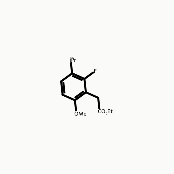 CCOC(=O)Cc1c(OC)ccc(C(C)C)c1F